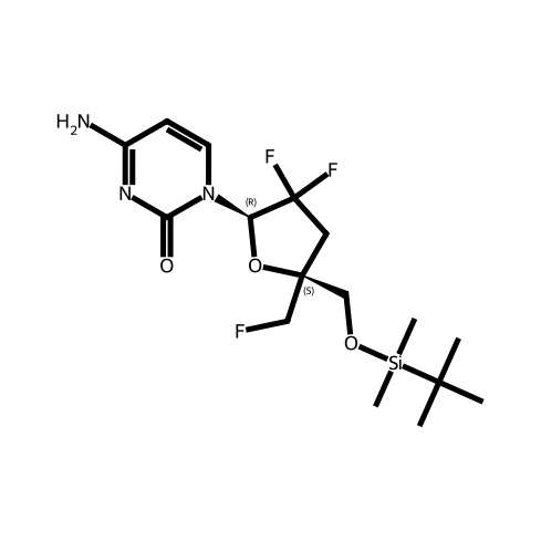 CC(C)(C)[Si](C)(C)OC[C@]1(CF)CC(F)(F)[C@H](n2ccc(N)nc2=O)O1